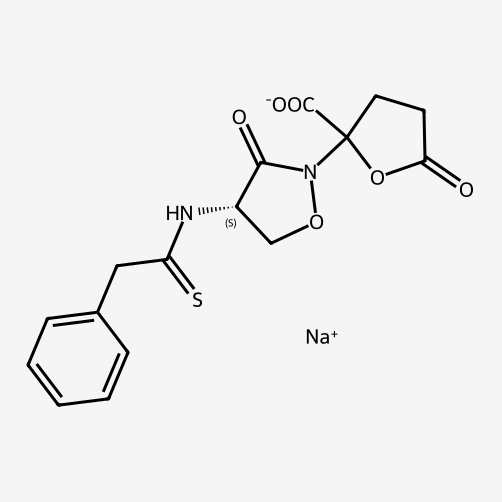 O=C1CCC(C(=O)[O-])(N2OC[C@H](NC(=S)Cc3ccccc3)C2=O)O1.[Na+]